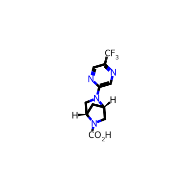 O=C(O)N1C[C@@H]2C[C@H]1CN2c1cnc(C(F)(F)F)cn1